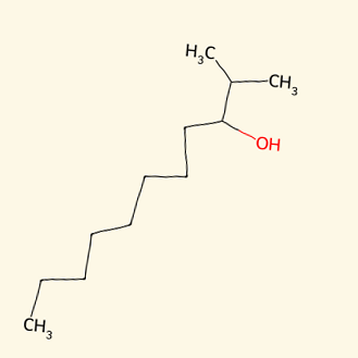 CCCCCCCCC(O)C(C)C